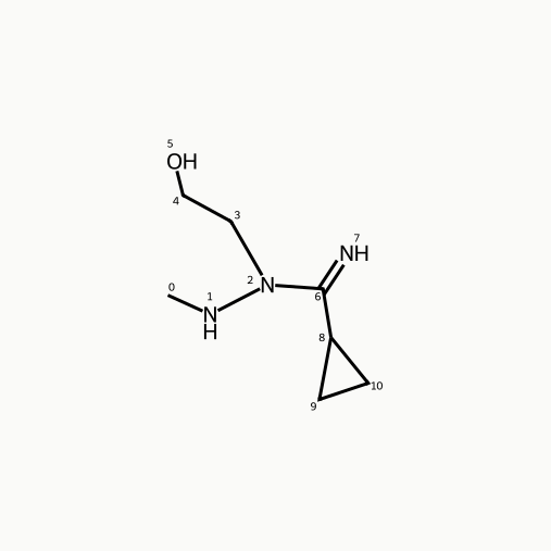 CNN(CCO)C(=N)C1CC1